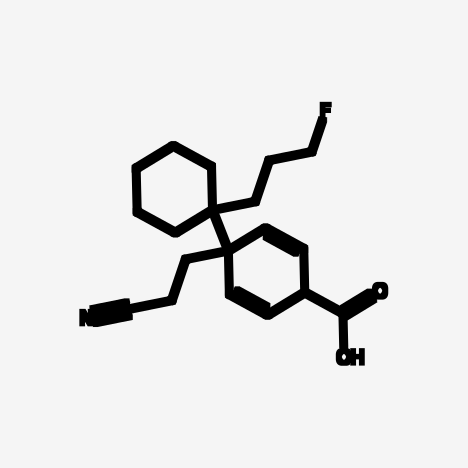 N#CCCC1(C2(CCCF)CCCCC2)C=CC(C(=O)O)C=C1